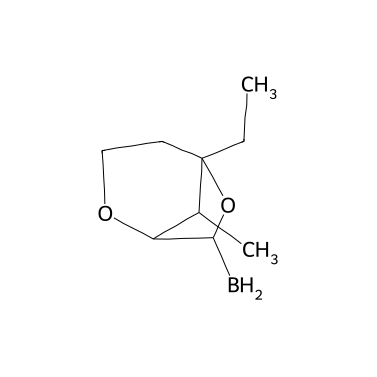 BC1OC2(CC)CCOC1C2C